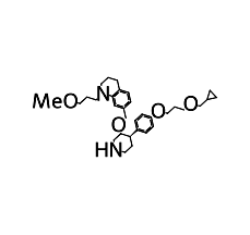 COCCCN1CCCc2ccc(CO[C@H]3CNCC[C@@H]3c3ccc(OCCCOCC4CC4)cc3)cc21